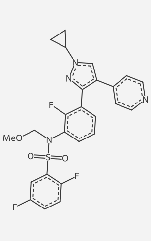 COCN(c1cccc(-c2nn(C3CC3)cc2-c2ccncc2)c1F)S(=O)(=O)c1cc(F)ccc1F